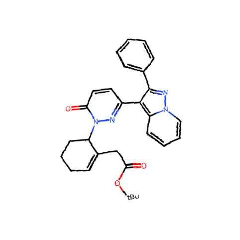 CC(C)(C)OC(=O)CC1=CCCCC1n1nc(-c2c(-c3ccccc3)nn3ccccc23)ccc1=O